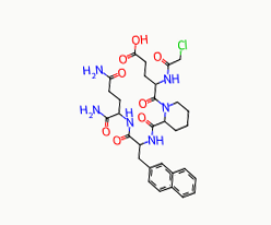 NC(=O)CCC(NC(=O)C(Cc1ccc2ccccc2c1)NC(=O)C1CCCCN1C(=O)C(CCC(=O)O)NC(=O)CCl)C(N)=O